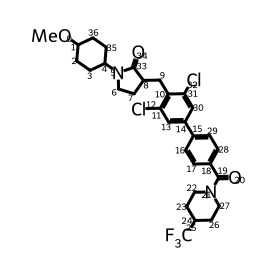 COC1CCC(N2CCC(Cc3c(Cl)cc(-c4ccc(C(=O)N5CCC(C(F)(F)F)CC5)cc4)cc3Cl)C2=O)CC1